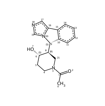 CC(=O)N1CC[C@H](O)[C@@H]([C@H]2c3ccccc3-c3cncn32)C1